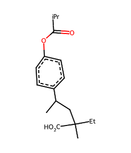 CCC(C)(CC(C)c1ccc(OC(=O)C(C)C)cc1)C(=O)O